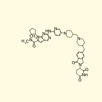 CN(C)C(=O)c1cc2cnc(Nc3ccc(N4CCC(CN5CCC(Cc6ccc7c(c6)CN(C6CCC(=O)NC6=O)C7=O)CC5)CC4)cn3)nc2n1C1CCCC1